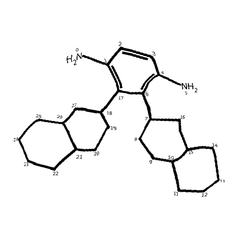 Nc1ccc(N)c(C2CCC3CCCCC3C2)c1C1CCC2CCCCC2C1